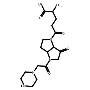 CC(C[CH]C(=O)N1CCC2C1C(=O)CN2C(=O)CN1CCNCC1)C(N)=O